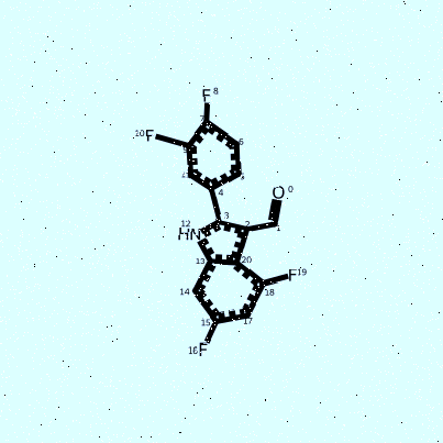 O=Cc1c(-c2ccc(F)c(F)c2)[nH]c2cc(F)cc(F)c12